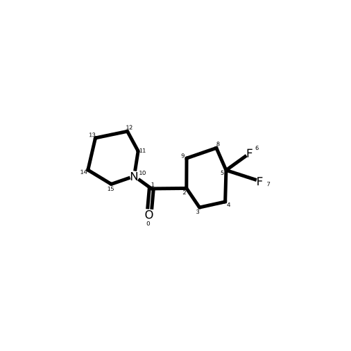 O=C(C1CCC(F)(F)CC1)N1CCCCC1